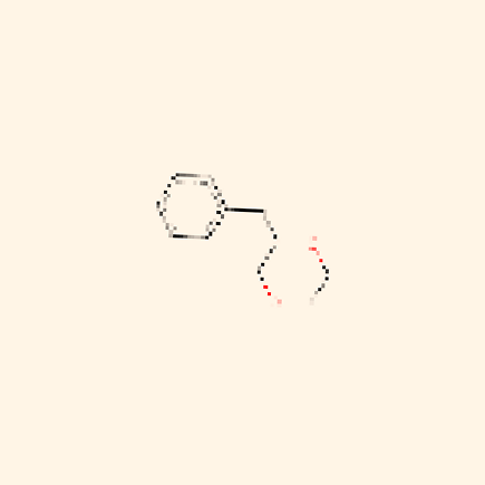 [CH](c1ccccc1)C1COCCO1